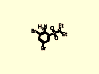 CCN(CC)S(=O)(=O)c1cc(Br)cc(Br)c1N